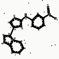 O=[N+]([O-])c1cccc(Nc2nc(-c3cnc4ccccn34)cs2)c1